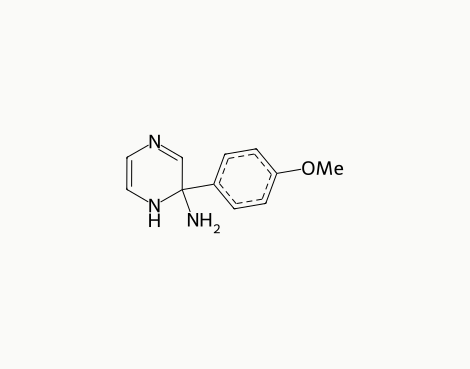 COc1ccc(C2(N)C=NC=CN2)cc1